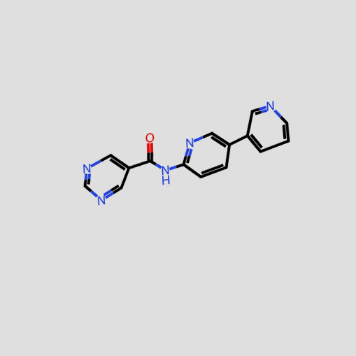 O=C(Nc1ccc(-c2cccnc2)cn1)c1cncnc1